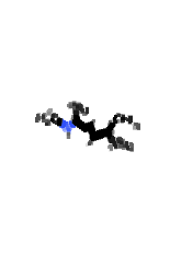 C=N/C(=C\C=C(/C)C(C)(C)C)C(C)(C)C